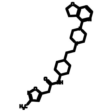 Cc1cc(CC(=O)NC2CCC(CCN3CCN(c4nccc5c4CCO5)CC3)CC2)on1